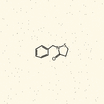 O=C1CCSN1Cc1ccccc1